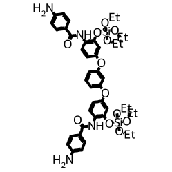 CCO[Si](OCC)(OCC)Oc1cc(Oc2cccc(Oc3ccc(NC(=O)c4ccc(N)cc4)c(O[Si](OCC)(OCC)OCC)c3)c2)ccc1NC(=O)c1ccc(N)cc1